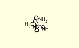 Cc1cc2c(nc1-c1nc3ccccc3n1CC1CCNC1)C(N)CCC2